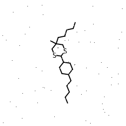 CCCCCC1CCC(C2SCC(C)(CCCCC)CS2)CC1